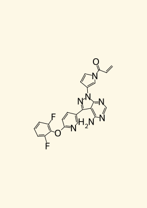 C=CC(=O)n1ccc(-n2nc(-c3ccc(Oc4c(F)cccc4F)nc3)c3c(N)ncnc32)c1